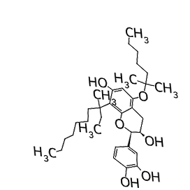 CCCCCCCC(C)(CC)c1c(O)cc(OC(C)(C)CCCCC)c2c1O[C@H](c1ccc(O)c(O)c1)[C@H](O)C2